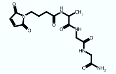 CC(NC(=O)CCCN1C(=O)C=CC1=O)C(=O)NCC(=O)NCC(N)=O